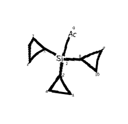 CC(=O)[Si](C1CC1)(C1CC1)C1CC1